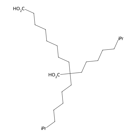 CC(C)CCCCCC(CCCCCCCC(=O)O)(CCCCCC(C)C)C(=O)O